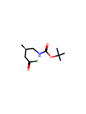 C[C@@H](CNC(=O)OC(C)(C)C)CC(=O)F